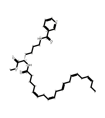 CC/C=C\C/C=C\CC=CC/C=C\C/C=C\CCCC(=O)N[C@@H](CCCCNC(=O)c1cccnc1)C(=O)OC